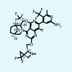 Cc1nc(N)cc(-c2nc3c4c(nc(OC[C@H]5N(C)C[C@@]56CC6(F)F)nc4c2F)N2C[C@H]4CC[C@H](N4)[C@H]2[C@H](C(F)(F)F)O3)c1C(F)(F)F